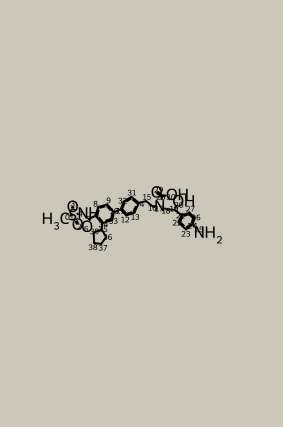 CS(=O)(=O)NC(=O)c1ccc(-c2ccc(CCN(C[C@H](O)c3ccc(N)cc3)C(=O)O)cc2)cc1C1CCCC1